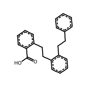 O=C(O)c1ccccc1CCc1ccccc1CCc1ccccc1